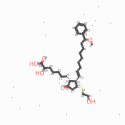 COC(CCCCCCC=C[C@H]1[C@H](SCCO)CC(=O)[C@@H]1CCCCCC(O)C(=O)O)c1ccccc1